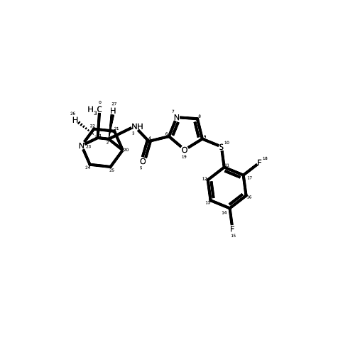 C[C@H]1[C@H](NC(=O)c2ncc(Sc3ccc(F)cc3F)o2)C2CCN1CC2